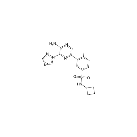 Cc1ccc(S(=O)(=O)NC2CCC2)cc1-c1cnc(N)c(-n2cncn2)n1